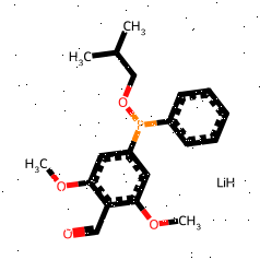 COc1cc(P(OCC(C)C)c2ccccc2)cc(OC)c1C=O.[LiH]